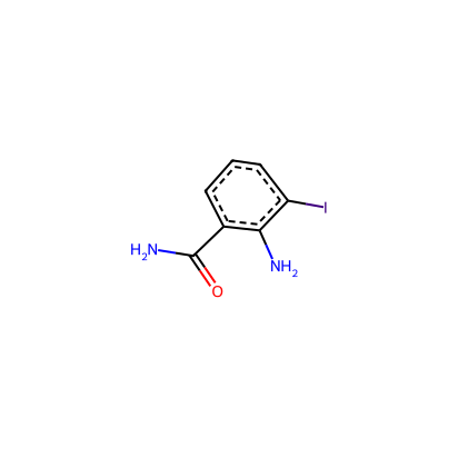 NC(=O)c1cccc(I)c1N